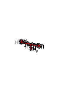 CC(C)C(=O)CCCCCCC(=O)NC(COCCC(=O)NCCCNC(=O)CCCCOC1OC(CO)C(O)C(O)C1C)COCCC(=O)NCCCNC(=O)CCCCOC1OC(CO)C(O)C(O)C1C